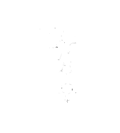 O=C(O)CC(C(=O)O)N1C(=O)C(=Cc2ccc(-c3ccc([N+](=O)[O-])cc3)o2)SC1=S